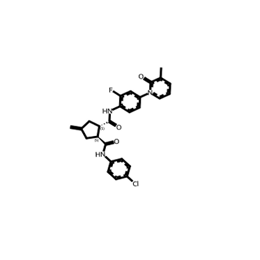 C=C1C[C@H](C(=O)Nc2ccc(Cl)cc2)[C@@H](C(=O)Nc2ccc(-n3cccc(C)c3=O)cc2F)C1